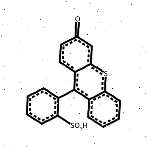 O=c1ccc2c(-c3ccccc3S(=O)(=O)O)c3ccccc3sc-2c1